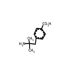 CC(C)(N)Cc1ccc(C(=O)O)cc1